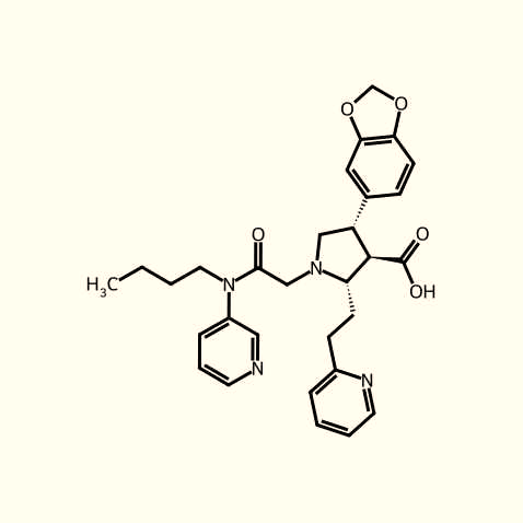 CCCCN(C(=O)CN1C[C@H](c2ccc3c(c2)OCO3)[C@@H](C(=O)O)[C@@H]1CCc1ccccn1)c1cccnc1